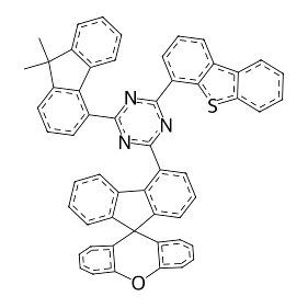 CC1(C)c2ccccc2-c2c(-c3nc(-c4cccc5c4-c4ccccc4C54c5ccccc5Oc5ccccc54)nc(-c4cccc5c4sc4ccccc45)n3)cccc21